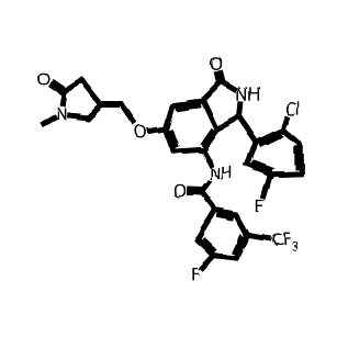 CN1CC(COc2cc(NC(=O)c3cc(F)cc(C(F)(F)F)c3)c3c(c2)C(=O)NC3c2cc(F)ccc2Cl)CC1=O